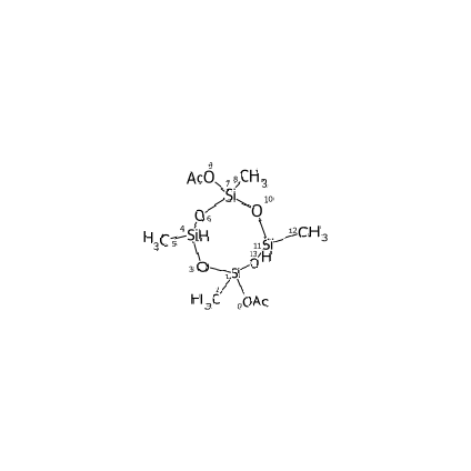 CC(=O)O[Si]1(C)O[SiH](C)O[Si](C)(OC(C)=O)O[SiH](C)O1